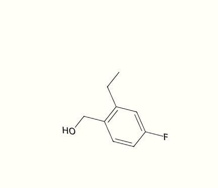 CCc1cc(F)ccc1CO